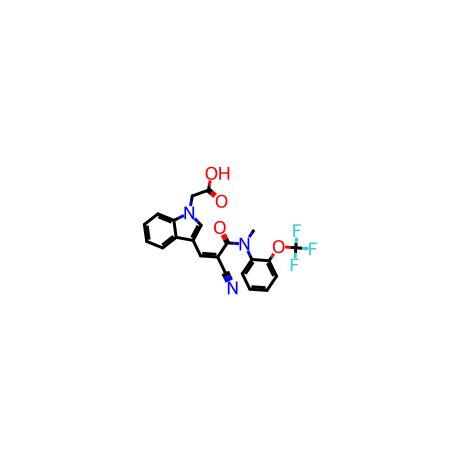 CN(C(=O)C(C#N)=Cc1cn(CC(=O)O)c2ccccc12)c1ccccc1OC(F)(F)F